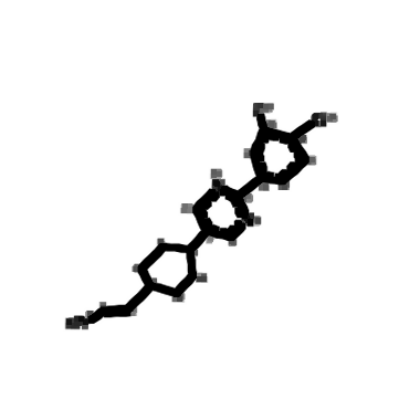 CCC/C=C/C1CCC(c2cnc(-c3ccc(Cl)c(F)c3)nc2)CC1